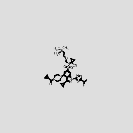 C[Si](C)(C)CCOCN(C1(C#N)CC1)S(=O)(=O)c1cc(N2CCN(C(=O)C3CC3)CC2)c2c(C3CC3)nn(-c3nnc(C(F)F)s3)c2c1